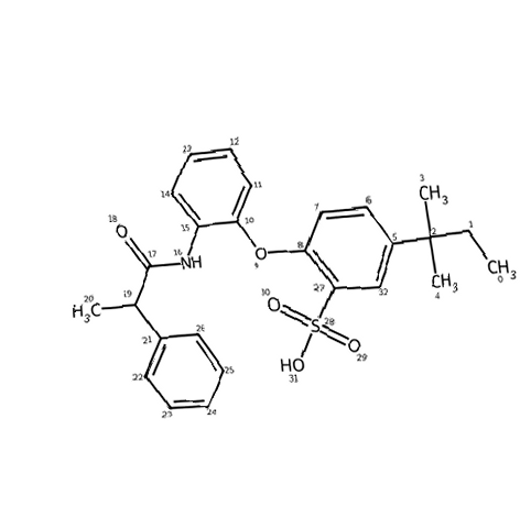 CCC(C)(C)c1ccc(Oc2ccccc2NC(=O)C(C)c2ccccc2)c(S(=O)(=O)O)c1